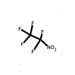 O=[N+]([O-])C(F)(F)C(F)(F)F